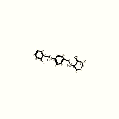 O=C1NCCCC1NCc1ccc(NCc2ccccc2Cl)cc1